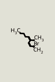 C=C(Br)/C=C\C(=C/CCCC)CC